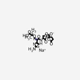 CC(C)(O/N=C(\C(=O)N[C@H]1CON(C2(C(=O)[O-])CCC(=O)O2)C1=O)c1csc(N)n1)C(=O)O.[Na+]